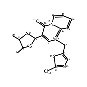 CC1SC(c2c[n+](Cc3cnc(Cl)s3)c3ccccn3c2=O)SC1C